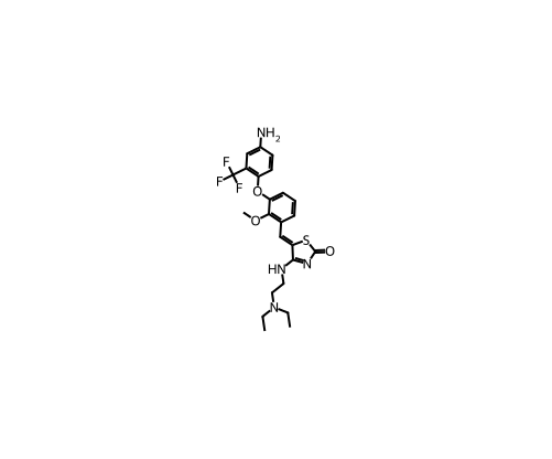 CCN(CC)CCNC1=NC(=O)S/C1=C\c1cccc(Oc2ccc(N)cc2C(F)(F)F)c1OC